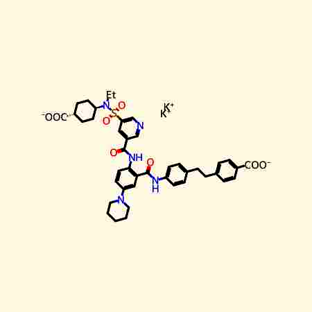 CCN([C@H]1CC[C@H](C(=O)[O-])CC1)S(=O)(=O)c1cncc(C(=O)Nc2ccc(N3CCCCC3)cc2C(=O)Nc2ccc(CCc3ccc(C(=O)[O-])cc3)cc2)c1.[K+].[K+]